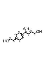 NC(CCCO)N1CCN(CCO)CC1